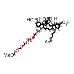 COCCOCCOCCOCCOCCOCCN1/C(=C/C=C/C2=[N+](CCCCCC(C)=O)c3ccc(S(=O)(=O)O)cc3C2(C)CCCS(=O)(=O)O)C(C)(CCCS(=O)(=O)O)c2cc(S(=O)(=O)O)ccc21